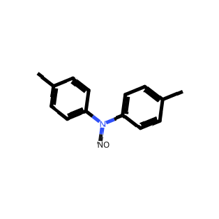 Cc1ccc(N(N=O)c2ccc(C)cc2)cc1